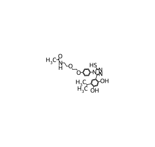 CC(=O)NCCOCCOc1ccc(-n2c(S)nnc2-c2cc(C(C)C)c(O)cc2O)cc1